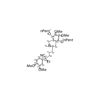 CCCCCOc1c2c(c(OCCCCC)c(OC)c1OC)CN(C)C(CCCC(C#N)(CC)c1ccc(OC)c(OC)c1)C2